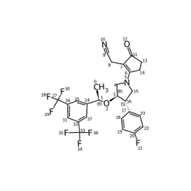 C[C@@H](O[C@H]1CN(C2=C(CC#N)C(=O)CC2)C[C@@H]1c1ccc(F)cc1)c1cc(C(F)(F)F)cc(C(F)(F)F)c1